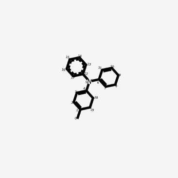 CC1=CC=C(N(C2=CCCC=C2)c2ccccc2)CC1